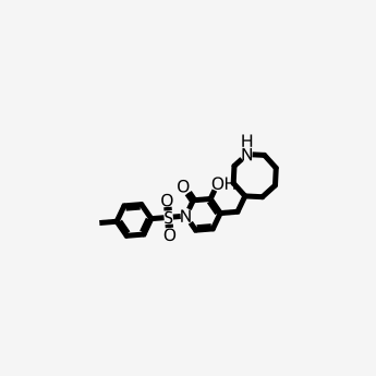 Cc1ccc(S(=O)(=O)n2ccc(CC3CCCCNCC3)c(O)c2=O)cc1